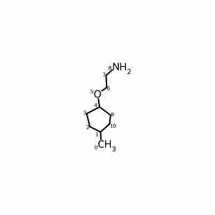 CC1CCC(OCCN)CC1